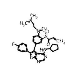 C=CC(=O)Nc1cc(-c2c(-c3ccc(F)cc3)oc3ncnc(NC4CCCC4)c23)ccc1N(C)CCN(C)C